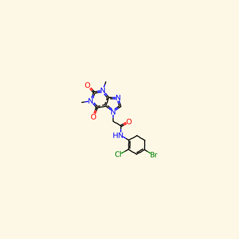 Cn1c(=O)c2c(ncn2CC(=O)NC2=C(Cl)C=C(Br)CC2)n(C)c1=O